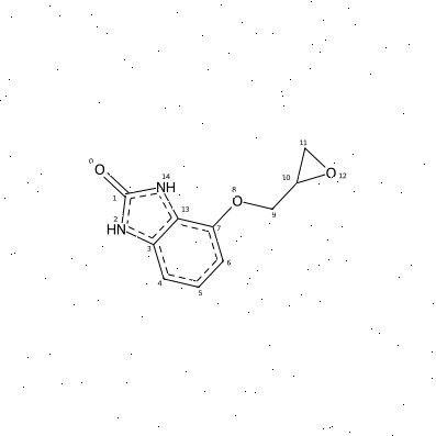 O=c1[nH]c2cccc(OCC3CO3)c2[nH]1